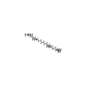 CCNCCCCNCCCCCCCCCNCCCCNCC